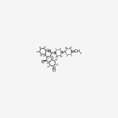 CN1CCC(N2CCN(c3nc4ccccc4c4c3-c3ccc(Cl)cc3C4=O)CC2)CC1